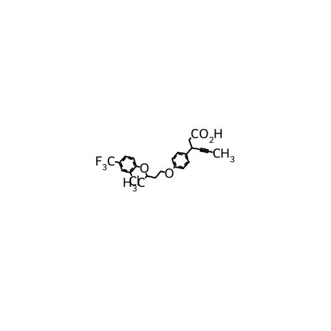 CC#CC(CC(=O)O)c1ccc(OCCC(C)Oc2ccc(C(F)(F)F)cc2Cl)cc1